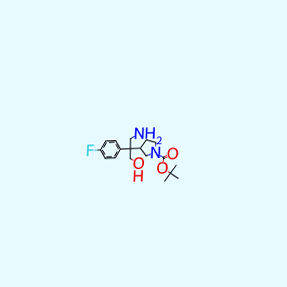 CC(C)(C)OC(=O)N1CCC(C(CN)(CO)c2ccc(F)cc2)C1